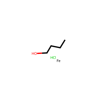 CCCCO.Cl.[Fe]